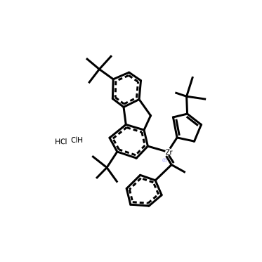 C/[C](c1ccccc1)=[Zr](\[C]1=CC(C(C)(C)C)=CC1)[c]1cc(C(C)(C)C)cc2c1Cc1ccc(C(C)(C)C)cc1-2.Cl.Cl